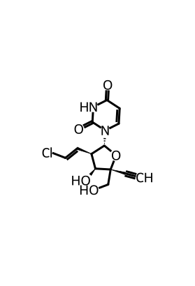 C#C[C@]1(CO)O[C@@H](n2ccc(=O)[nH]c2=O)[C@H](C=CCl)[C@@H]1O